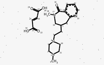 CN1CCN(CCC2Cc3ncccc3C(=O)N(C)C2)CC1.O=C(O)/C=C/C(=O)O